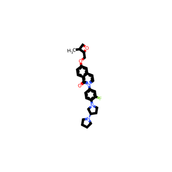 CC1COC1COc1ccc2c(=O)n(-c3ccc(N4CC[C@@H](N5CCCC5)C4)c(F)c3)ccc2c1